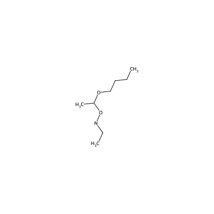 CCCCOC(C)O[N]CC